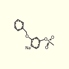 CS(=O)(=O)Oc1cccc(OCc2ccccc2)c1.[Na]